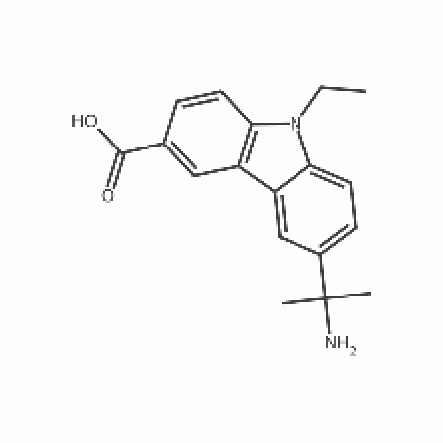 CCn1c2ccc(C(=O)O)cc2c2cc(C(C)(C)N)ccc21